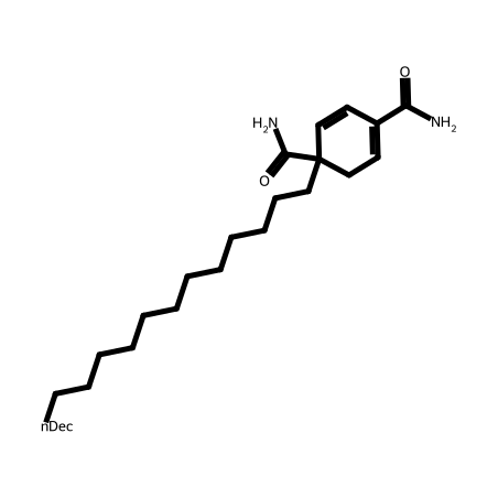 CCCCCCCCCCCCCCCCCCCCCCC1(C(N)=O)C=CC(C(N)=O)=CC1